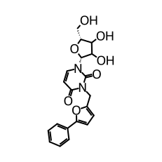 O=c1ccn([C@@H]2O[C@H](CO)C(O)C2O)c(=O)n1Cc1ccc(-c2ccccc2)o1